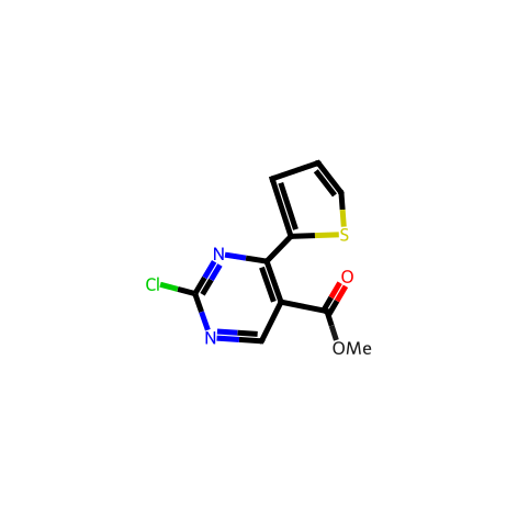 COC(=O)c1cnc(Cl)nc1-c1cccs1